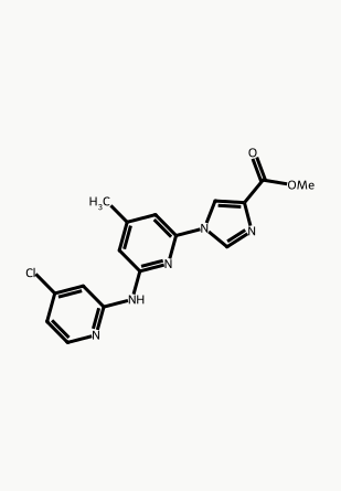 COC(=O)c1cn(-c2cc(C)cc(Nc3cc(Cl)ccn3)n2)cn1